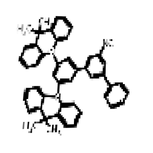 [C-]#[N+]c1cc(-c2ccccc2)cc(-c2cc(N3c4ccccc4C(C)(C)c4ccccc43)cc(N3c4ccccc4C(C)(C)c4ccccc43)c2)c1